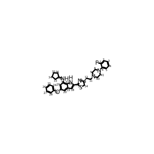 Fc1ccccc1N1CCN(CC[C@H]2CSC(c3cc4cc(Oc5ccccc5)cc(NC5CCCC5)c4[nH]3)=N2)CC1